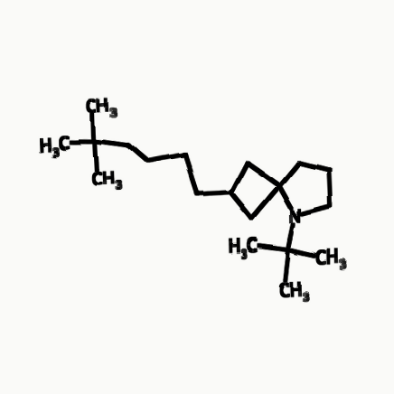 CC(C)(C)CCCCC1CC2(CCCN2C(C)(C)C)C1